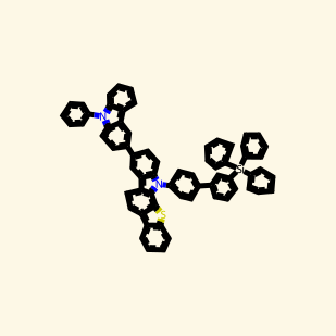 c1ccc(-n2c3ccccc3c3cc(-c4ccc5c(c4)c4ccc6c7ccccc7sc6c4n5-c4ccc(-c5cccc([Si](c6ccccc6)(c6ccccc6)c6ccccc6)c5)cc4)ccc32)cc1